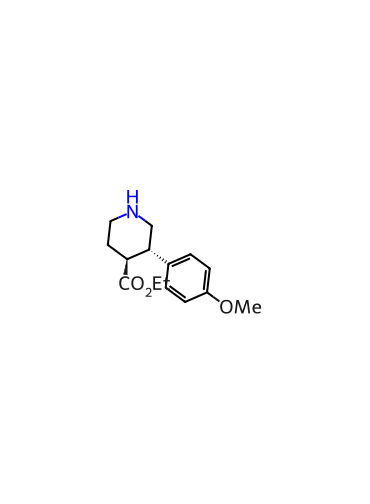 CCOC(=O)[C@H]1CCNC[C@@H]1c1ccc(OC)cc1